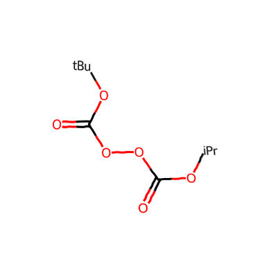 CC(C)OC(=O)OOC(=O)OC(C)(C)C